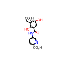 O=C(O)Cc1cc(O)cc(C(=O)Nc2ccc(C(=O)O)nc2)c1O